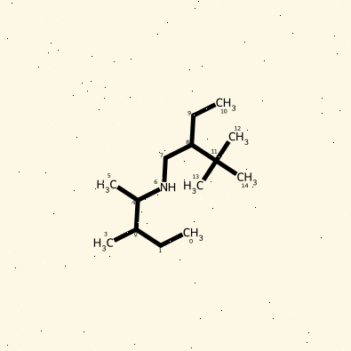 CCC(C)C(C)NCC(CC)C(C)(C)C